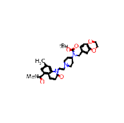 CNC(=O)c1cc(C)cc2c1ccc(=O)n2CCN1CCC(N(Cc2ccc3c(c2)OCCO3)C(=O)OC(C)(C)C)CC1